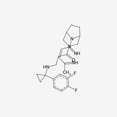 CC(=N)/C=C\C(=N)N1C2CCC1CN(C(=O)CCNC1(c3ccc(F)c(F)c3)CC1)C2